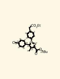 CCOC(=O)Cc1ccc(-n2nc(C(=O)OC(C)(C)C)c(C)c2-c2ccc(Cl)cc2)cc1